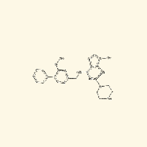 CCCOc1cc(CNc2nc(N3CCNCC3)nc3c2ncn3C(C)C)ccc1-c1ccccc1